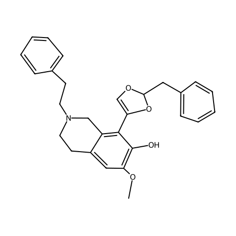 COc1cc2c(c(C3=COC(Cc4ccccc4)O3)c1O)CN(CCc1ccccc1)CC2